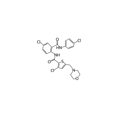 O=C(Nc1ccc(Cl)cc1)c1cc(Cl)ccc1NC(=O)c1sc(CN2CCOCC2)cc1Cl